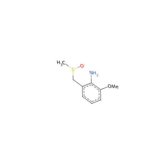 COc1cccc(C[S+](C)[O-])c1N